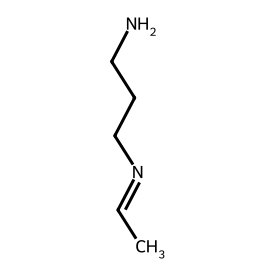 CC=NCCCN